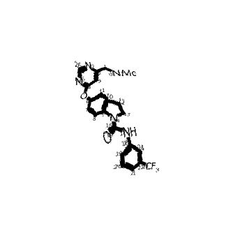 CNCc1cc(Oc2ccc3c(c2)CCN3C(=O)Nc2cccc(C(F)(F)F)c2)ncn1